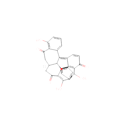 O=C1C=CC2=C3c4cccc(O)c4C(=O)C[C@@H]4CC(=O)c5c(O)cccc5[C@]34C3=CCC(O)C1=C32